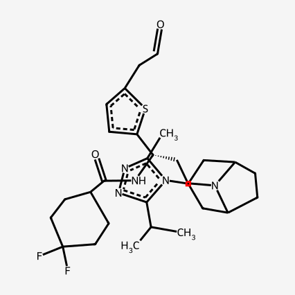 Cc1nnc(C(C)C)n1C1CC2CCC(C1)N2CC[C@H](NC(=O)C1CCC(F)(F)CC1)c1ccc(CC=O)s1